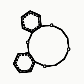 c1ccc2c(c1)OCCOCCOc1ccccc1O2